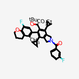 CCOC(=O)[C@@H](OC(C)(C)C)c1c(-c2cc(F)c3c(c2C)CCCO3)c(C2CC2)c2c(c1C1CC1)CN(C(=O)c1cccc(F)c1)C2